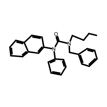 CCCCN(Cc1ccccc1)C(=O)N(c1ccccc1)c1ccc2ccccc2c1